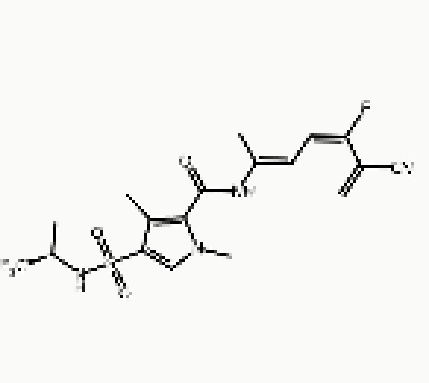 C=C(C#N)/C(F)=C\C=C(/C)NC(=O)c1c(C)c(S(=O)(=O)N[C@H](C)C(F)(F)F)cn1C